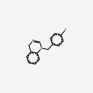 Fc1ccc(CN2C=NCc3ccccc32)cc1